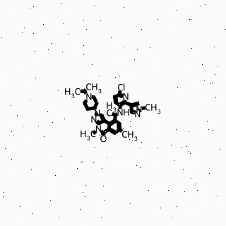 Cc1cc(C(C)Nc2ccc(Cl)nc2-c2cnn(C)c2)c2c(c1)c(=O)n(C)c1nn(C3CCN(C(C)C)CC3)cc21